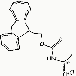 C[C@@H](C=O)NC(=O)OCC1c2ccccc2-c2ccccc21